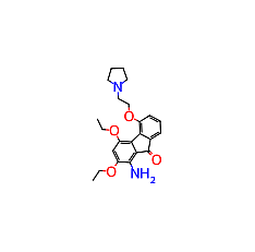 CCOc1cc(OCC)c2c(c1N)C(=O)c1cccc(OCCN3CCCC3)c1-2